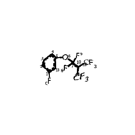 Fc1cccc(OC(F)(F)C(C(F)(F)F)C(F)(F)F)c1